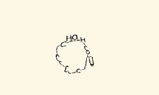 O=C1CCCCCCCCCC[C@H]2O[C@@H]2CCO1